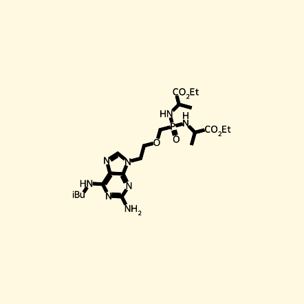 CCOC(=O)C(C)NP(=O)(COCCn1cnc2c(NC(C)CC)nc(N)nc21)NC(C)C(=O)OCC